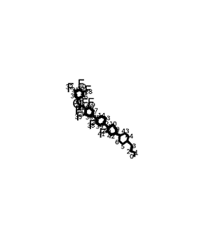 CC/C=C/C1CCC(c2ccc(-c3ccc(-c4cc(F)c(C(F)(F)Oc5cc(F)c(F)c(F)c5)c(F)c4)c(F)c3)c(F)c2)CC1